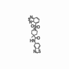 CC1(C(=O)Nc2ccc3scnc3c2)CCN(S(=O)(=O)c2cccc3nsnc23)CC1